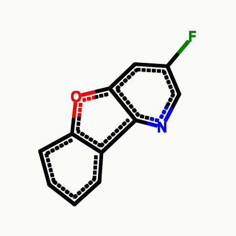 Fc1cnc2c(c1)oc1ccccc12